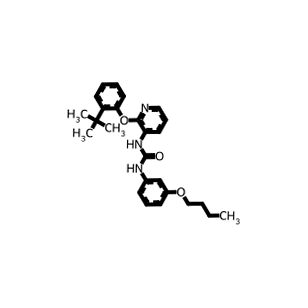 CCCCOc1cccc(NC(=O)Nc2cccnc2Oc2ccccc2C(C)(C)C)c1